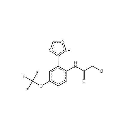 O=C(CCl)Nc1ccc(OC(F)(F)F)cc1-c1ncn[nH]1